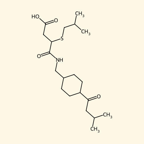 CC(C)CSC(CC(=O)O)C(=O)NCC1CCC(C(=O)CC(C)C)CC1